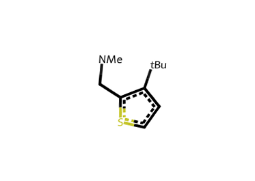 CNCc1sccc1C(C)(C)C